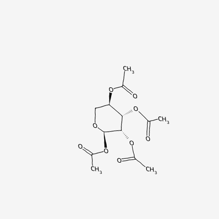 CC(=O)O[C@H]1OC[C@@H](OC(C)=O)[C@H](OC(C)=O)[C@@H]1OC(C)=O